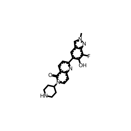 Cn1cc2cc(-c3ccc4c(=O)n(C5CCNCC5)ccc4n3)c(O)c(F)c2n1